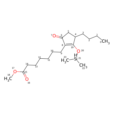 CCCCC1CC(=O)C(CCCCCCC(=O)OC)=C1O[SiH](C)C